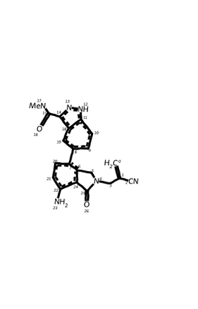 C=C(C#N)CN1Cc2c(-c3ccc4[nH]nc(C(=O)NC)c4c3)ccc(N)c2C1=O